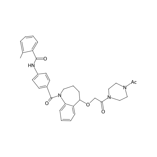 CC(=O)N1CCN(C(=O)COC2CCCN(C(=O)c3ccc(NC(=O)c4ccccc4C)cc3)c3ccccc32)CC1